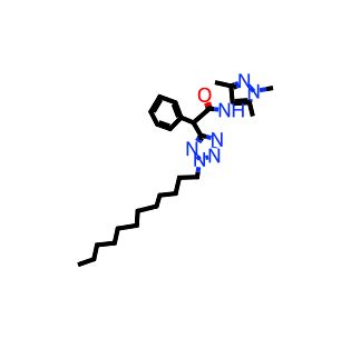 CCCCCCCCCCCCn1nnc(C(C(=O)Nc2c(C)nn(C)c2C)c2ccccc2)n1